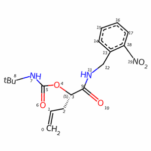 C=CC[C@H](OC(=O)NC(C)(C)C)C(=O)NCc1ccccc1[N+](=O)[O-]